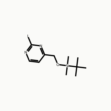 CC(C)(C)[Si](C)(C)OCc1ccnc(I)n1